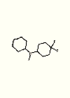 CN(C1CCCCC1)C1CCC(F)(F)CC1